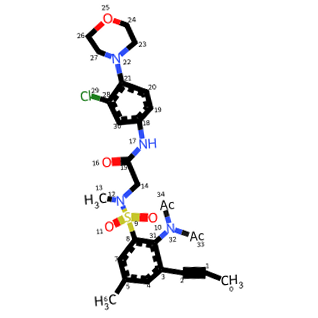 CC#Cc1cc(C)cc(S(=O)(=O)N(C)CC(=O)Nc2ccc(N3CCOCC3)c(Cl)c2)c1N(C(C)=O)C(C)=O